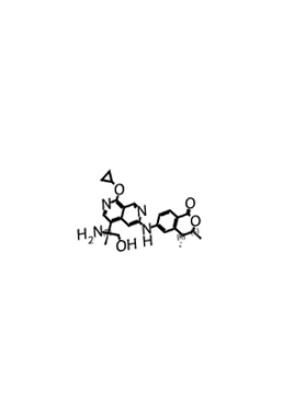 C[C@@H]1OC(=O)c2ccc(Nc3cc4c([C@@](C)(N)CO)cnc(OC5CC5)c4cn3)cc2[C@H]1C